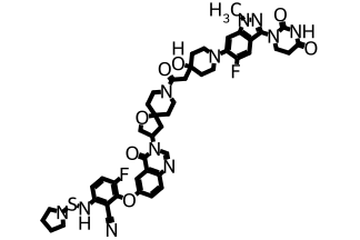 Cn1nc(N2CCC(=O)NC2=O)c2cc(F)c(N3CCC(O)(CC(=O)N4CCC5(CC4)CC(n4cnc6ccc(Oc7c(F)ccc(NSN8CCCC8)c7C#N)cc6c4=O)CO5)CC3)cc21